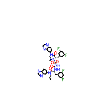 C=CCN(C(=O)[C@H](Cc1cc(F)cc(F)c1)NC(=O)NS(=O)(=O)N[C@@H](Cc1cc(F)cc(F)c1)C(=O)N(CC=C)c1ccc2nccnc2c1)c1ccc2nccnc2c1